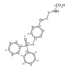 O=C(O)NCCOc1ccc(CP(=O)(c2ccccc2)c2ccccc2)cc1